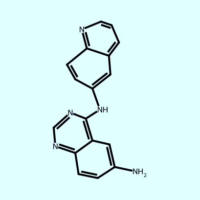 Nc1ccc2ncnc(Nc3ccc4ncccc4c3)c2c1